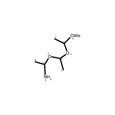 COC(C)OC(C)OC(C)N